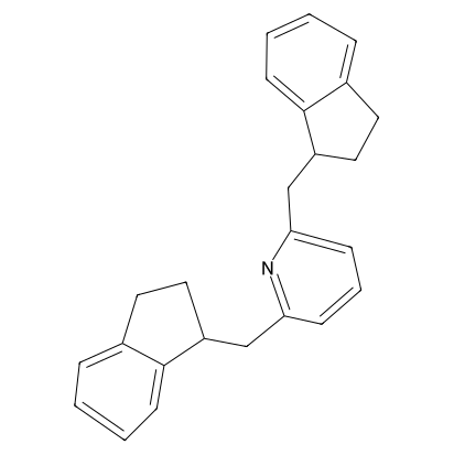 c1cc(CC2CCc3ccccc32)nc(CC2CCc3ccccc32)c1